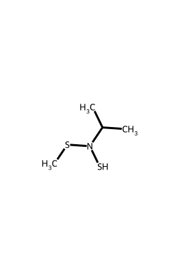 CSN(S)C(C)C